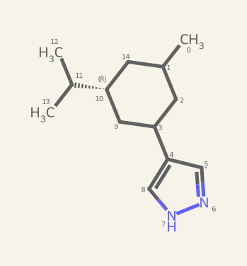 CC1CC(c2[c]n[nH]c2)C[C@H](C(C)C)C1